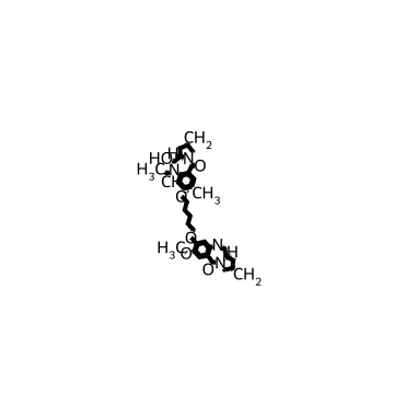 C=C1C[C@H]2C=Nc3cc(OCCCCCOc4cc5c(cc4C)C(=O)N4CC(=C)C[C@H]4C(O)N5C(C)C)c(OC)cc3C(=O)N2C1